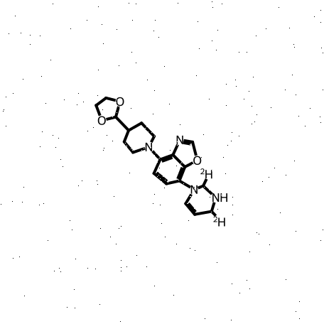 [2H]C1C=CN(c2ccc(N3CCC(C4OCCO4)CC3)c3ncoc23)C([2H])N1